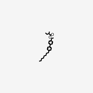 CCCCCCCCc1ccc(-c2ccc(C(C)OC(=O)C(C)CC)cc2)cc1